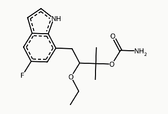 CCOC(Cc1cc(F)cc2cc[nH]c12)C(C)(C)OC(N)=O